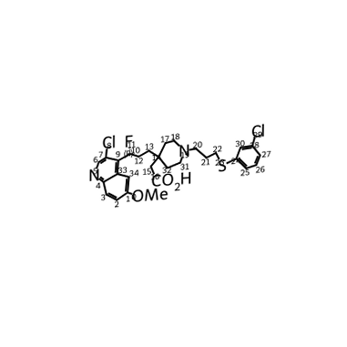 COc1ccc2ncc(Cl)c([C@H](F)CCC3(CC(=O)O)CCN(CCCSc4cccc(Cl)c4)CC3)c2c1